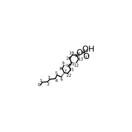 CCCCCCC[C@H]1CC[C@H]([C@H]2CC[C@H](OC(=O)O)CC2)CC1